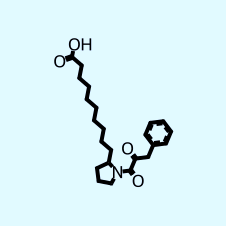 O=C(O)CCCCCCCCCC1CCCN1C(=O)C(=O)Cc1ccccc1